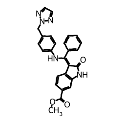 COC(=O)c1ccc2c(c1)NC(=O)C2=C(Nc1ccc(Cn2nccn2)cc1)c1ccccc1